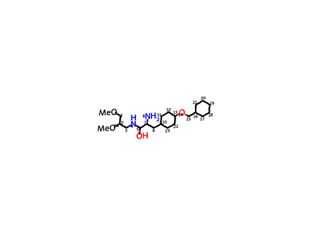 COCC(CNC(O)[C@@H](N)CC1CCC(OCC2CCCCC2)CC1)OC